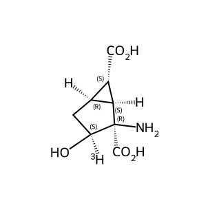 [3H][C@]1(O)C[C@H]2[C@H](C(=O)O)[C@H]2[C@]1(N)C(=O)O